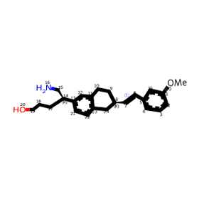 COc1cccc(/C=C/[C@@H]2CCc3cc([C@H](CN)CCCO)ccc3C2)c1